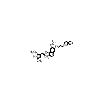 C=Nc1[nH]c(C)cc1/C=C(\C)Oc1ccnc2cc(OCCCN3CCC4(COC4)C3)c(OC)cc12